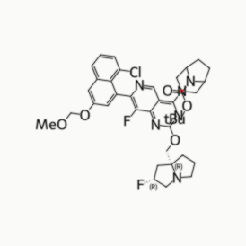 COCOc1cc(-c2ncc3c(N4CC5CCC(C4)N5C(=O)OC(C)(C)C)nc(OC[C@]45CCCN4C[C@H](F)C5)nc3c2F)c2c(Cl)cccc2c1